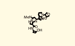 CNc1cc(-c2cnc3n(C4COC[C@@H]4OC)cccc2-3)nc2c(C(=O)NC3CC[C@@H]3O)cnn12